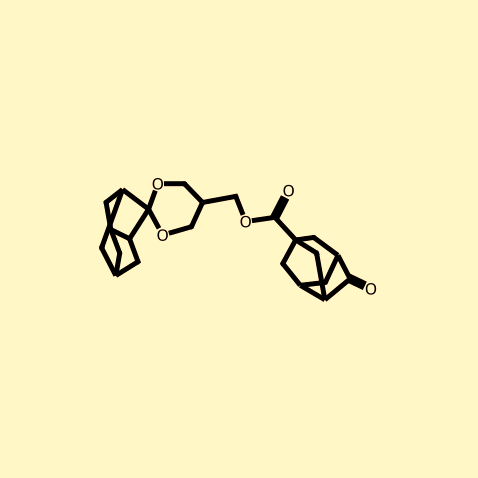 O=C1C2CC3CC(C(=O)OCC4COC5(OC4)C4CC6CC(C4)C5C6)(C2)CC13